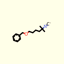 [C-]#[N+]C(C)(C)CCCCOCc1ccccc1